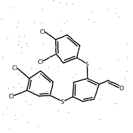 O=Cc1ccc(Sc2ccc(Cl)c(Cl)c2)cc1Sc1ccc(Cl)c(Cl)c1